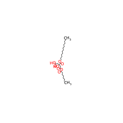 CCCCCCCCCCCCCCOC(=O)C(O)(CC(=O)O)CC(=O)OC(=O)CCCCCCC